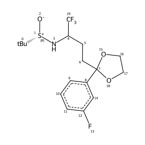 CC(C)(C)[S@+]([O-])NC(CCC1(c2cccc(F)c2)OCCO1)C(F)(F)F